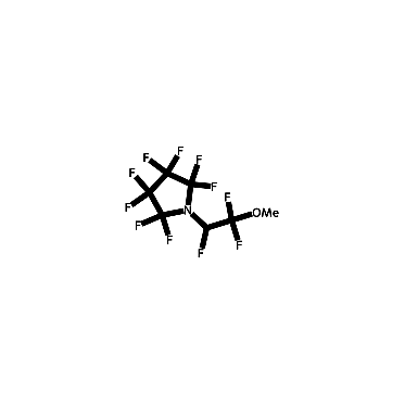 COC(F)(F)C(F)N1C(F)(F)C(F)(F)C(F)(F)C1(F)F